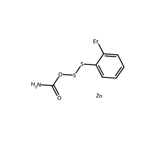 CCc1ccccc1SSOC(N)=O.[Zn]